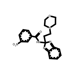 O=C(NC1(CCN2CCOCC2)N=c2ccccc2=N1)c1cccc([N+](=O)[O-])c1